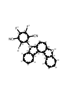 N#Cc1c(F)c(F)c(C#N)c(-n2c3ccccc3c3c4c(ccc32)oc2ccccc24)c1F